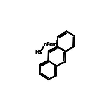 CCCCCS.c1ccc2cc3ccccc3cc2c1